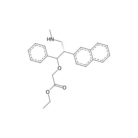 CCOC(=O)COC(c1ccccc1)[C@H](CNC)c1ccc2ccccc2c1